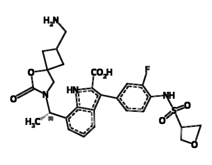 C[C@@H](c1cccc2c(-c3ccc(NS(=O)(=O)C4COC4)c(F)c3)c(C(=O)O)[nH]c12)N1CC2(CC(CN)C2)OC1=O